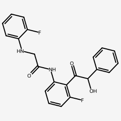 O=C(CNc1ccccc1F)Nc1cccc(F)c1C(=O)C(O)c1ccccc1